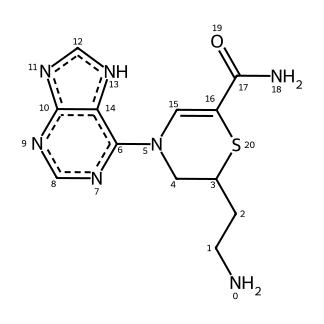 NCCC1CN(c2ncnc3nc[nH]c23)C=C(C(N)=O)S1